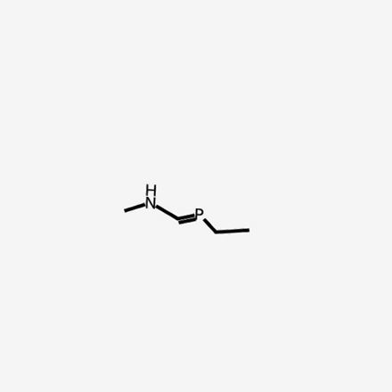 CCP=CNC